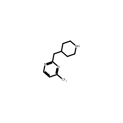 FC(F)(F)c1ccnc(CC2CCNCC2)n1